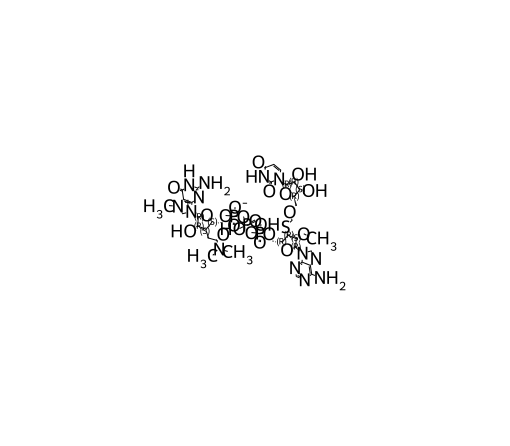 CO[C@@H]1[C@H](SCOC[C@H]2O[C@@H](n3ccc(=O)[nH]c3=O)[C@H](O)[C@@H]2O)[C@@H](COP(=O)(O)OP(=O)(O)OP(=O)([O-])OC[C@H]2O[C@@H](n3c[n+](C)c4c(=O)[nH]c(N)nc43)[C@H](O)[C@@H]2CC(=O)N(C)C)O[C@H]1n1cnc2c(N)ncnc21